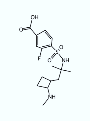 CNC1CCC1CC(C)(C)NS(=O)(=O)c1ccc(C(=O)O)cc1F